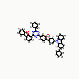 c1ccc(-c2ccc3c4ccccc4n(-c4ccc5c(c4)oc4cc(-c6nc(-c7ccccc7)nc(-c7cccc8c7oc7ccccc78)n6)ccc45)c3c2)cc1